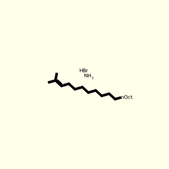 Br.CCCCCCCCCCCCCCCCC=C(C)C.N